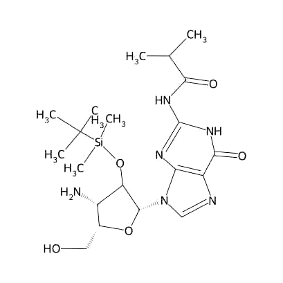 CC(C)C(=O)Nc1nc2c(ncn2[C@@H]2O[C@H](CO)[C@H](N)C2O[Si](C)(C)C(C)(C)C)c(=O)[nH]1